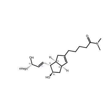 CCCCCCC[C@H](O)/C=C/[C@@H]1[C@H]2CC(CCCCC(=O)N(C)C)=C[C@H]2C[C@H]1O